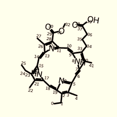 CCC1=C(C)c2cc3[nH]c(cc4nc(cc5[nH]c(cc1n2)c(C)c5CC)C(C)=C4C(=O)OC)c(CCCC(=O)O)c3C